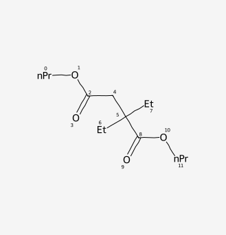 CCCOC(=O)CC(CC)(CC)C(=O)OCCC